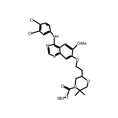 COc1cc2c(Nc3ccc(Cl)c(Cl)c3)ncnc2cc1OCCC1CN(C(=O)OC(C)(C)C)C(C)(C)CO1